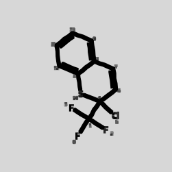 FC(F)(F)C1(Cl)C=Cc2ccccc2S1